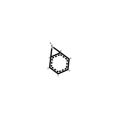 c1ccc2c(c1)S2